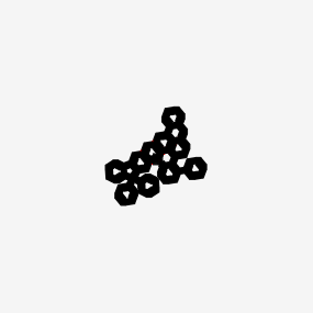 c1ccc(-c2ccccc2-c2c(-c3ccccc3)cccc2N(c2ccc3c(c2)C(c2ccccc2)(c2ccccc2)c2ccccc2-3)c2ccc3c(ccc4ccccc43)c2)cc1